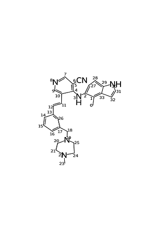 Cc1c(Nc2c(C#N)cncc2/C=C/c2cccc(CN3CCN(C)CC3)c2)ccc2[nH]ccc12